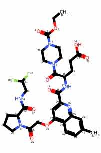 CCOC(=O)N1CCN(C(=O)C(CCC(=O)O)NC(=O)c2cc(OCC(=O)N3CCCC3C(=O)NCC(F)F)c3ccc(C)cc3n2)CC1